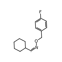 Fc1ccc(CO/N=[C]\C2CCCCC2)cc1